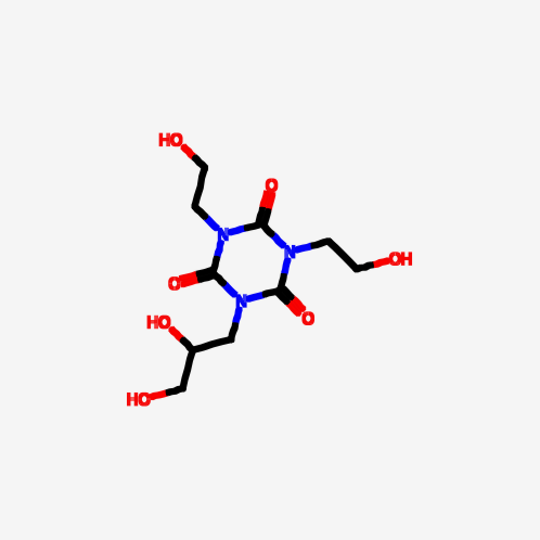 O=c1n(CCO)c(=O)n(CC(O)CO)c(=O)n1CCO